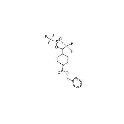 O=C(OCc1ccccc1)N1CCC(C(OS(=O)C(F)(F)F)C(F)(F)F)CC1